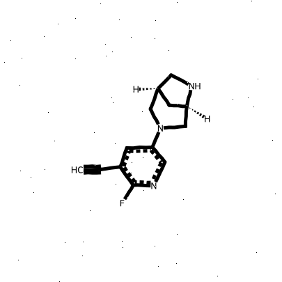 C#Cc1cc(N2C[C@H]3CN[C@H](C3)C2)cnc1F